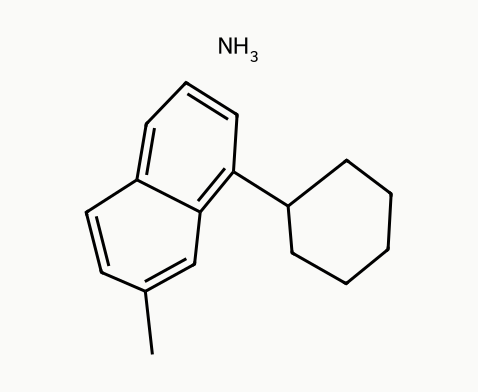 Cc1ccc2cccc(C3CCCCC3)c2c1.N